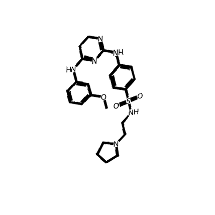 COc1cccc(NC2=NC(Nc3ccc(S(=O)(=O)NCCN4CCCC4)cc3)=NCC2)c1